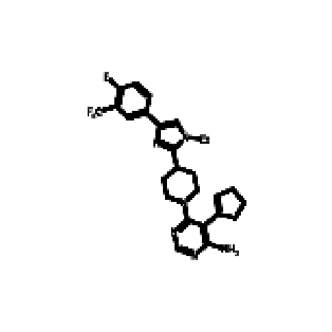 CCn1cc(-c2ccc(F)c(C(F)(F)F)c2)nc1C1CCN(c2ncnc(N)c2C2=CCCC2)CC1